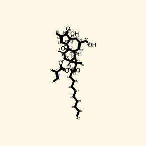 C/C=C(\C)C(=O)O[C@@H]1[C@@H](C)[C@]23O[C@]24C=C(C)C(=O)[C@@]4(O)CC(CO)=C[C@H]3C2C(C)(C)[C@@]21OC(=O)CCCCCCCCC